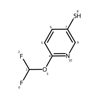 FC(F)Oc1ccc(S)cn1